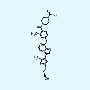 C#CCCn1cc(-c2cnc3c(Cc4ccc(C(=O)N5CCN(C(=O)CCCC)CC5)c(C)c4)nccn23)c(C(F)(F)F)n1